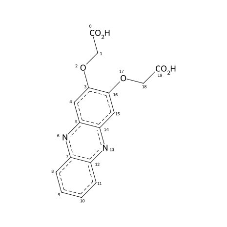 O=C(O)COc1cc2nc3ccccc3nc2cc1OCC(=O)O